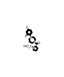 O=C([C@@H]1CCCN1C(=O)O)N1CCCN(c2ccc(F)cc2F)CC1